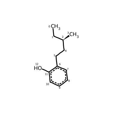 CC[C@@H](C)CCc1ccccc1O